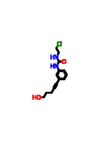 O=C(NCCCl)Nc1cccc(C#CCCCO)c1